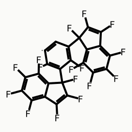 FC1=C(F)C(F)(c2c[c]c(F)c(C3(F)C(F)=C(F)c4c(F)c(F)c(F)c(F)c43)c2F)c2c(F)c(F)c(F)c(F)c21